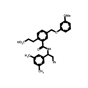 COc1cccc(OCc2ccc(CCC(=O)O)c(C(=O)NC(CC(C)C)c3cc(C)cc(C)c3)c2)c1